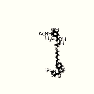 CC(=O)Nc1c(O)ccc([C@@H](O)CNCCSCCCCCCN2CCC3(CC2)CN(C(=O)c2csc(C(C)C)n2)CCO3)c1C